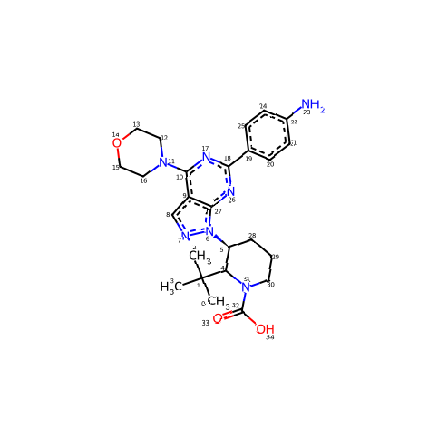 CC(C)(C)C1[C@@H](n2ncc3c(N4CCOCC4)nc(-c4ccc(N)cc4)nc32)CCCN1C(=O)O